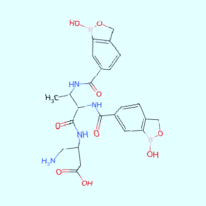 CC(NC(=O)c1ccc2c(c1)B(O)OC2)C(NC(=O)c1ccc2c(c1)B(O)OC2)C(=O)NC(CN)CC(=O)O